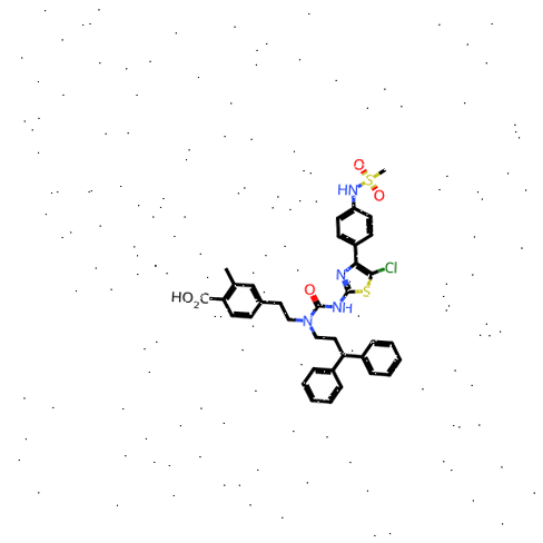 Cc1cc(CCN(CCC(c2ccccc2)c2ccccc2)C(=O)Nc2nc(-c3ccc(NS(C)(=O)=O)cc3)c(Cl)s2)ccc1C(=O)O